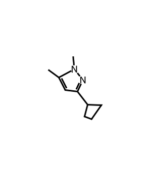 Cc1cc(C2CCC2)nn1C